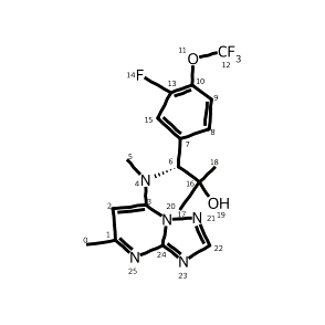 Cc1cc(N(C)[C@H](c2ccc(OC(F)(F)F)c(F)c2)C(C)(C)O)n2ncnc2n1